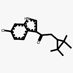 CC1(C)C(CC(=O)c2c[nH]c3cc(Cl)ccc23)C1(C)C